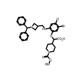 CC(C)(C)OC(=O)N1CCC(C(Oc2cc(Br)c(Cl)cc2NCC2CN(C(c3ccccc3)c3ccccc3)C2)C(=O)O)CC1